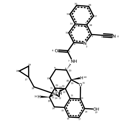 N#Cc1nc(C(=O)N[C@H]2CC[C@@]3(O)[C@H]4Cc5ccc(O)c6c5[C@@]3(CCN4CC3CC3)[C@H]2O6)cc2ccccc12